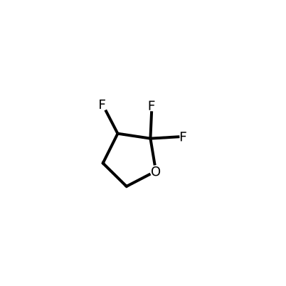 FC1CCOC1(F)F